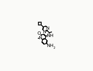 CC(Nc1cc(=O)n(C)c2ccc(N)cc12)c1ncc(C2CCC2)cn1